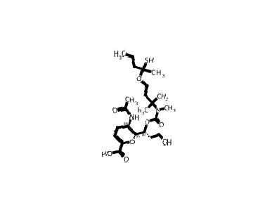 CCCC(C)(S)OCCC(C)(C)N(C)C(=O)O[C@H](CCO)[C@@H]1OC(C(=O)O)=CC[C@H]1NC(C)=O